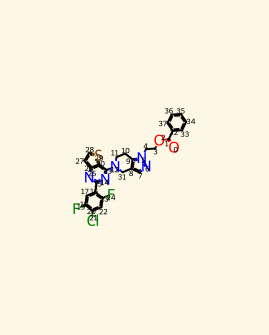 O=C(OCCn1ncc2c1CCN(c1nc(-c3cc(F)c(Cl)cc3F)nc3ccsc13)C2)c1ccccc1